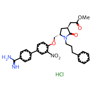 COC(=O)C[C@@H]1C[C@@H](COc2ccc(-c3ccc(C(=N)N)cc3)cc2[N+](=O)[O-])N(CCCc2ccccc2)C1=O.Cl